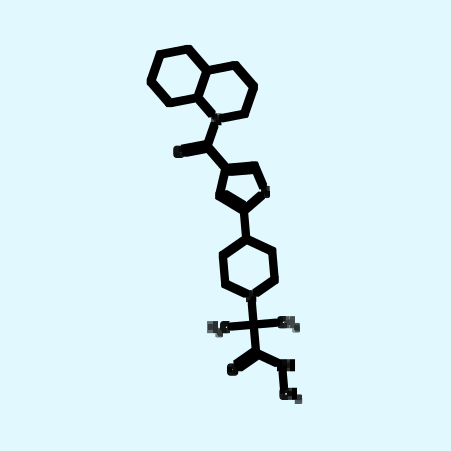 CNC(=O)C(C)(C)N1CCC(c2cc(C(=O)N3CCCC4CCCCC43)cs2)CC1